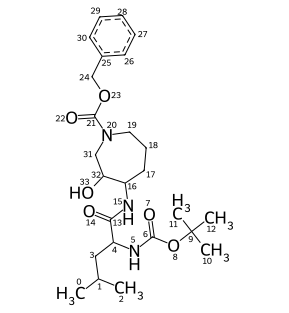 CC(C)CC(NC(=O)OC(C)(C)C)C(=O)NC1CCCN(C(=O)OCc2ccccc2)CC1O